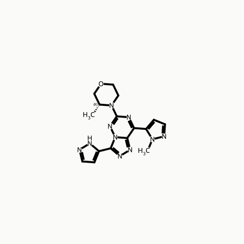 C[C@@H]1COCCN1c1nc(-c2ccnn2C)c2nnc(-c3ccn[nH]3)n2n1